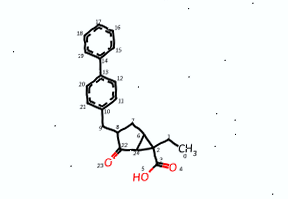 CCC1(C(=O)O)C2CC(Cc3ccc(-c4ccccc4)cc3)C(=O)C21